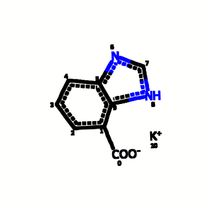 O=C([O-])c1cccc2nc[nH]c12.[K+]